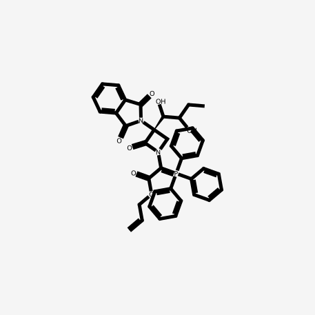 C=CCOC(=O)C(N1C[C@@](C(O)C(O)CC)(N2C(=O)c3ccccc3C2=O)C1=O)=P(c1ccccc1)(c1ccccc1)c1ccccc1